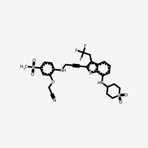 CS(=O)(=O)c1ccc(NCC#Cc2sc3c(NC4CCS(=O)(=O)CC4)cccc3c2CC(F)(F)F)c(OCC#N)c1